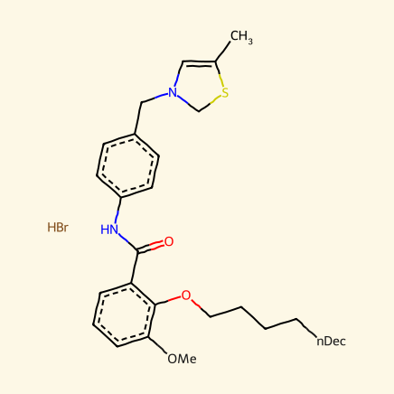 Br.CCCCCCCCCCCCCCOc1c(OC)cccc1C(=O)Nc1ccc(CN2C=C(C)SC2)cc1